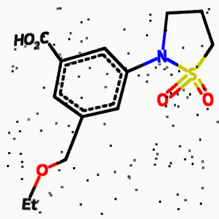 CCOCc1cc(C(=O)O)cc(N2CCCS2(=O)=O)c1